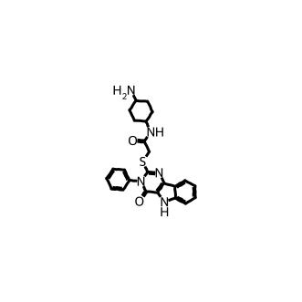 NC1CCC(NC(=O)CSc2nc3c([nH]c4ccccc43)c(=O)n2-c2ccccc2)CC1